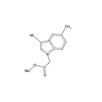 Cc1ccc2c(c1)c(C#N)cn2CC(=O)OC(C)(C)C